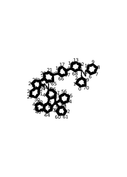 c1ccc(N(c2ccccc2)c2cccc(-c3ccc(-c4ccc5c6ccc7ccccc7c6n(-c6ccc7c(c6)-c6c(ccc8ccccc68)C7(c6ccccc6)c6ccccc6)c5c4)cc3)c2)cc1